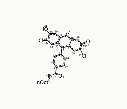 CCCCCCCCNC(=O)c1ccc(-c2c3cc(Cl)c(=O)cc-3oc3cc(O)c(Cl)cc23)cc1